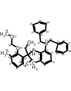 CCC(CC)(Pc1c(C)cccc1N(Cc1ccccc1)Cc1ccccc1)c1cccc(C)c1OCOC